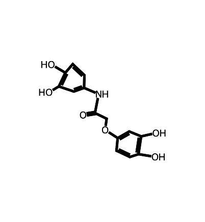 O=C(COc1ccc(O)c(O)c1)Nc1ccc(O)c(O)c1